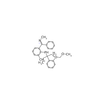 CCC(CC)(Pc1c(C)cccc1/C(=N/C)c1ccccc1)c1ccccc1OCOC